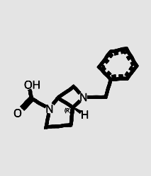 O=C(O)N1CC[C@@H]2C1CN2Cc1ccccc1